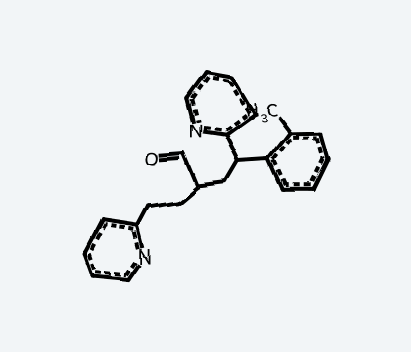 Cc1ccccc1C(CC(C=O)CCc1ccccn1)c1ccccn1